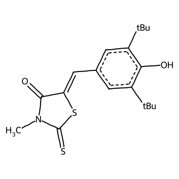 CN1C(=O)/C(=C/c2cc(C(C)(C)C)c(O)c(C(C)(C)C)c2)SC1=S